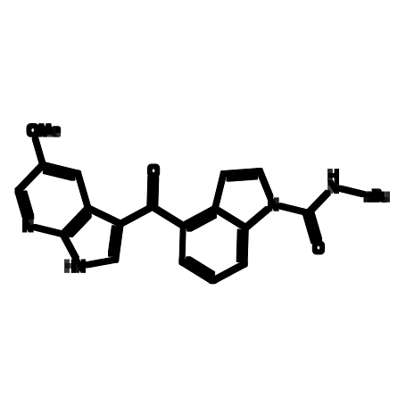 CCCCNC(=O)n1ccc2c(C(=O)c3c[nH]c4ncc(OC)cc34)cccc21